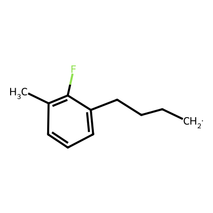 [CH2]CCCc1cccc(C)c1F